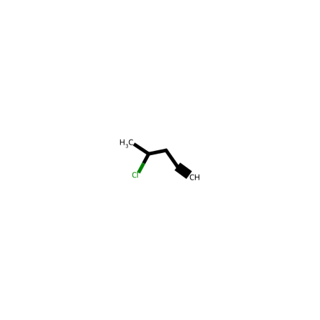 C#CCC(C)Cl